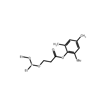 CCOP(CC)OCCC(=O)Oc1c(C)cc(C)cc1C(C)(C)C